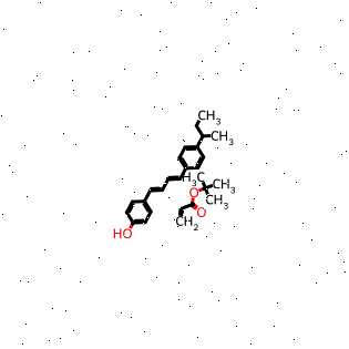 C=CC(=O)OC(C)(C)C.CCC(C)c1ccc(C=CC=Cc2ccc(O)cc2)cc1